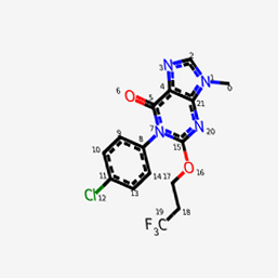 Cn1cnc2c(=O)n(-c3ccc(Cl)cc3)c(OCCC(F)(F)F)nc21